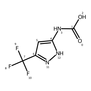 O=C(O)Nc1cc(C(F)(F)F)n[nH]1